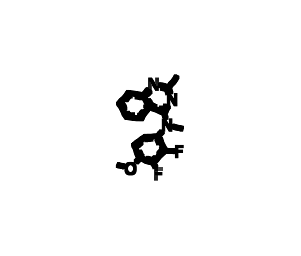 COc1ccc(N(C)c2nc(C)nc3ccccc23)c(F)c1F